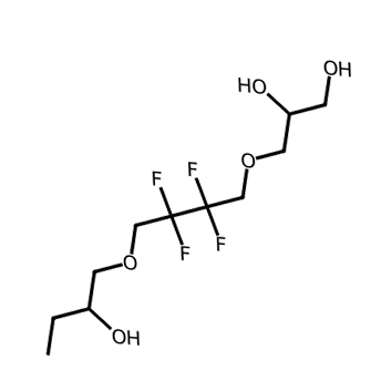 CCC(O)COCC(F)(F)C(F)(F)COCC(O)CO